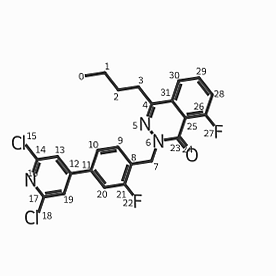 CCCCc1nn(Cc2ccc(-c3cc(Cl)nc(Cl)c3)cc2F)c(=O)c2c(F)cccc12